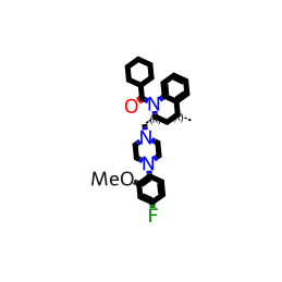 COc1cc(F)ccc1N1CCN(C[C@H]2C[C@@H](C)c3ccccc3N2C(=O)C2CCCCC2)CC1